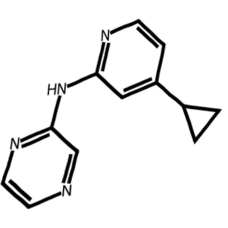 c1cnc(Nc2cc(C3CC3)ccn2)cn1